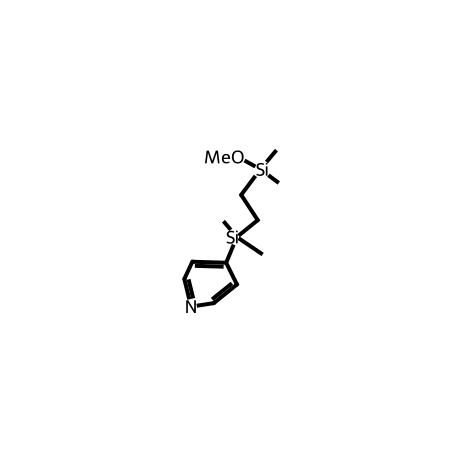 CO[Si](C)(C)CC[Si](C)(C)c1ccncc1